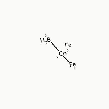 [BH2][Co][Fe].[Fe]